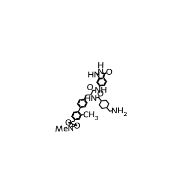 CNS(=O)(=O)c1ccc(-c2ccc(C[C@H](NC(=O)C3CCC(CN)CC3)C(=O)Nc3ccc4c(=O)[nH][nH]c4c3)cc2)c(C)c1